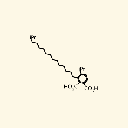 CC(C)CCCCCCCCCCCCCc1c(C(C)C)ccc(C(=O)O)c1C(=O)O